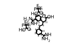 N=C(N)c1cccc(CCC(CC(=O)O)c2cccc(C(=N)N)c2)c1.O=C(O)C(F)(F)F.O=C(O)C(F)(F)F